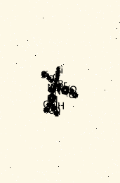 C[C@@H]1C[C@@H](c2nc3c(-c4ccc(N(NC(=O)OC(C)(C)C)C(=O)OC(C)(C)C)nc4)cnn3c(N(COCC[Si](C)(C)C)COCC[Si](C)(C)C)c2Br)C[C@H](C)N1C(=O)OC(C)(C)C